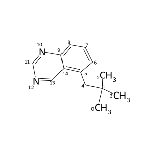 CC(C)(C)Cc1cccc2ncncc12